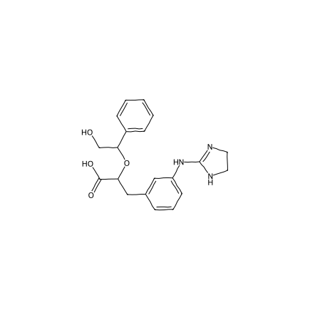 O=C(O)C(Cc1cccc(NC2=NCCN2)c1)OC(CO)c1ccccc1